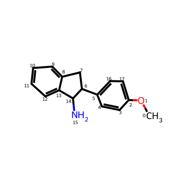 COc1ccc(C2Cc3ccccc3C2N)cc1